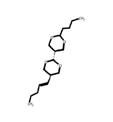 CCC/C=C/[C@H]1CO[C@H](C2COC(CCCC)OC2)OC1